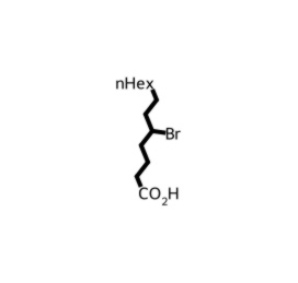 CCCCCCCCC(Br)CCCC(=O)O